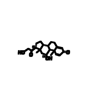 CC12C=CC(=O)C=C1CCC1C2[C@@H](O)CC2(C)C1CC[C@@H]2C(=O)CO